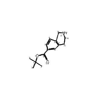 CC(C)(C)OC(=O)c1ccc2c(c1)CCNC2